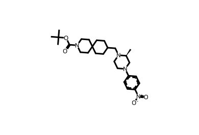 C[C@H]1CN(c2ccc([N+](=O)[O-])cc2)CCN1CC1CCC2(CC1)CCN(C(=O)OC(C)(C)C)CC2